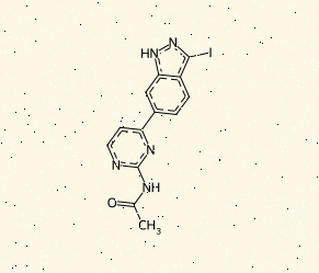 CC(=O)Nc1nccc(-c2ccc3c(I)n[nH]c3c2)n1